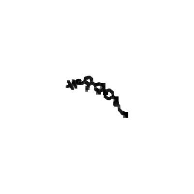 CC(C)(C)[Si](C)(C)OCc1cccc(-c2cnc(N3CCC(=NOCCC#N)CC3)nc2)c1F